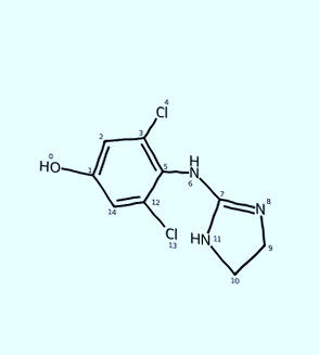 Oc1cc(Cl)c(NC2=NCCN2)c(Cl)c1